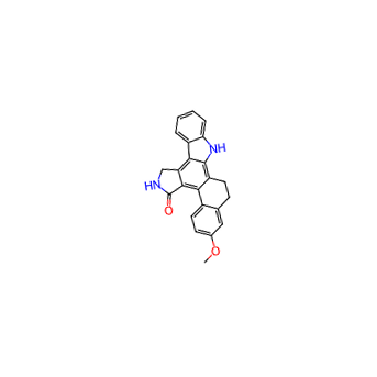 COc1ccc2c(c1)CCc1c-2c2c(c3c1[nH]c1ccccc13)CNC2=O